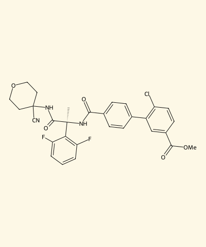 COC(=O)c1ccc(Cl)c(-c2ccc(C(=O)N[C@](C)(C(=O)NC3(C#N)CCOCC3)c3c(F)cccc3F)cc2)c1